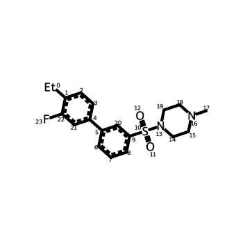 CCc1ccc(-c2cccc(S(=O)(=O)N3CCN(C)CC3)c2)cc1F